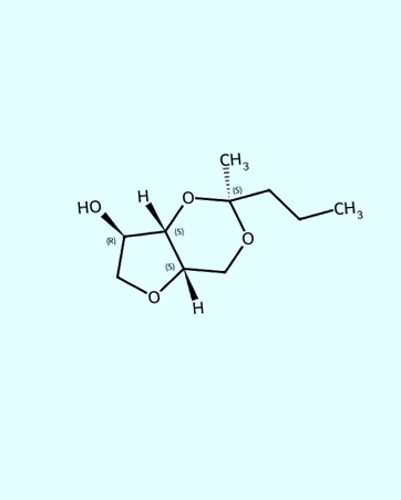 CCC[C@@]1(C)OC[C@@H]2OC[C@@H](O)[C@@H]2O1